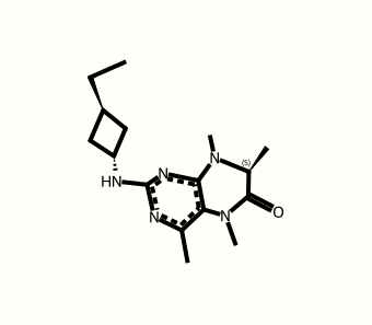 CC[C@H]1C[C@H](Nc2nc(C)c3c(n2)N(C)[C@@H](C)C(=O)N3C)C1